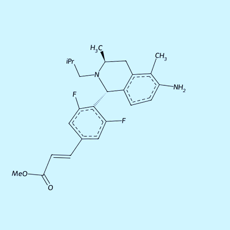 COC(=O)/C=C/c1cc(F)c([C@H]2c3ccc(N)c(C)c3C[C@H](C)N2CC(C)C)c(F)c1